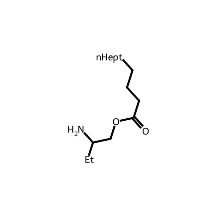 CCCCCCCCCCC(=O)OCC(N)CC